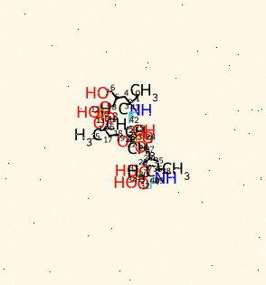 CCC(C)(CC(CO)COP(=O)(O)OC(C)(C)CCOC(C)(C)P(=O)(O)OCC(COP(=O)(O)O)CC(C)(C)NF)NF